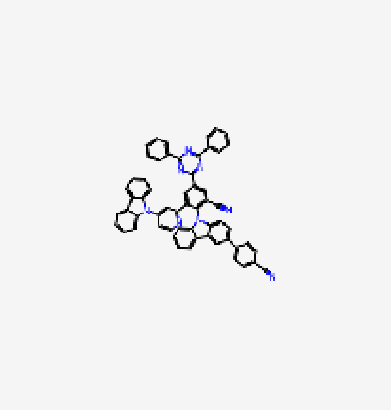 N#Cc1ccc(-c2ccc3c(c2)c2ccccc2n3-c2c(C#N)cc(-c3nc(-c4ccccc4)nc(-c4ccccc4)n3)cc2-c2cc(-n3c4ccccc4c4ccccc43)ccn2)cc1